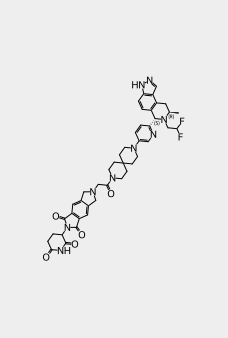 C[C@@H]1Cc2c(ccc3[nH]ncc23)[C@@H](c2ccc(N3CCC4(CCN(C(=O)CN5Cc6cc7c(cc6C5)C(=O)N(C5CCC(=O)NC5=O)C7=O)CC4)CC3)cn2)N1CC(F)F